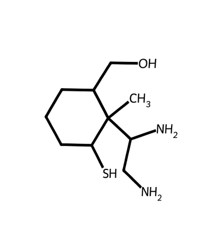 CC1(C(N)CN)C(S)CCCC1CO